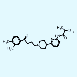 Cc1ccc(C(=O)CCCN2CCC(c3cccc(NC(=O)C(C)C)n3)CC2)cc1C